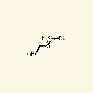 [CH2]CCCO[SiH2]CC